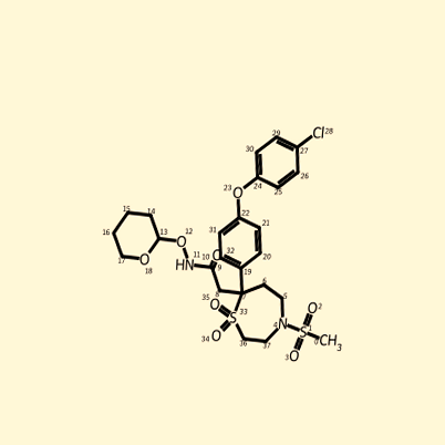 CS(=O)(=O)N1CCC(CC(=O)NOC2CCCCO2)(c2ccc(Oc3ccc(Cl)cc3)cc2)S(=O)(=O)CC1